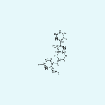 Cc1ncc(CN2CCn3nc(-c4ccccn4)c(C)c3C2)c(N)n1